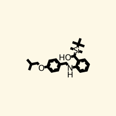 CC(C)COc1ccc(CNc2ccccc2C(O)[Si](C)(C)C(C)(C)C)cc1